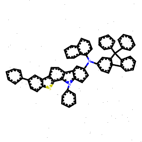 c1ccc(-c2ccc3sc4c(ccc5c6cc(N(c7ccc8c(c7)C(c7ccccc7)(c7ccccc7)c7ccccc7-8)c7cccc8ccccc78)ccc6n(-c6ccccc6)c54)c3c2)cc1